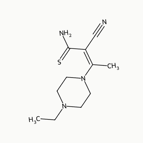 CCN1CCN(C(C)=C(C#N)C(N)=S)CC1